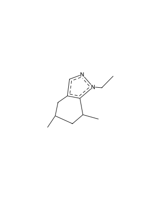 CCn1ncc2c1C(C)CC(C)C2